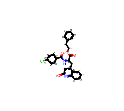 O=C(NC(Cc1cc(=O)[nH]c2ccccc12)C(=O)OCCc1ccccc1)c1ccc(Cl)cc1